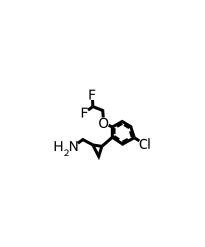 NCC1CC1c1cc(Cl)ccc1OCC(F)F